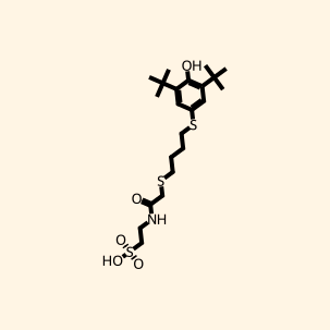 CC(C)(C)c1cc(SCCCCSCC(=O)NCCS(=O)(=O)O)cc(C(C)(C)C)c1O